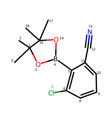 CC1(C)OB(c2c(Cl)cccc2C#N)OC1(C)C